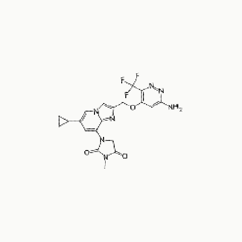 CN1C(=O)CN(c2cc(C3CC3)cn3cc(COc4cc(N)nnc4C(F)(F)F)nc23)C1=O